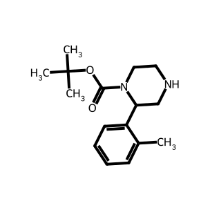 Cc1ccccc1C1CNCCN1C(=O)OC(C)(C)C